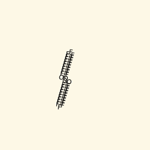 O=C(OOC(=O)C(F)(F)C(F)(F)C(F)(F)C(F)(F)C(F)(F)C(F)(F)C(F)(F)C(F)(F)C(F)(F)F)C(F)(F)C(F)(F)C(F)(F)C(F)(F)C(F)(F)C(F)(F)C(F)(F)C(F)(F)C(F)(F)F